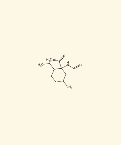 CC1CCC(C(C)C)C(NC=O)(C(=O)O)C1